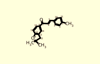 Cc1ccc(C=CC(=O)c2ccc3c(c2)CC(C)(C)O3)cc1